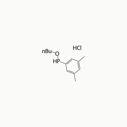 CCCCOPc1cc(C)cc(C)c1.Cl